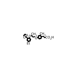 CCc1ccc(O[C@@H](C)CCOc2ccc(CCC(=O)O)c(C)c2)c(-c2ncco2)c1